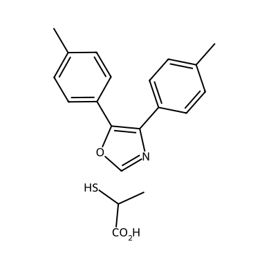 CC(S)C(=O)O.Cc1ccc(-c2ncoc2-c2ccc(C)cc2)cc1